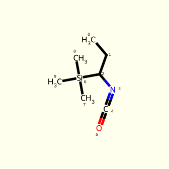 CCC(N=C=O)[Si](C)(C)C